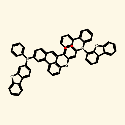 c1ccc(-c2ccccc2N(c2ccc3c(c2)Sc2cccc4c2c-3cc2ccc(N(c3ccccc3)c3ccc5c(c3)oc3ccccc35)cc24)c2cccc3c2oc2ccccc23)cc1